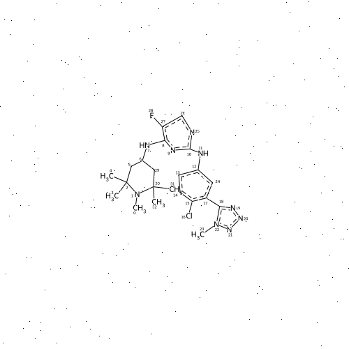 CN1C(C)(C)CC(Nc2nc(Nc3ccc(Cl)c(-c4nnnn4C)c3)ncc2F)CC1(C)C